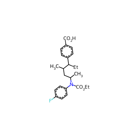 CCOC(=O)N(c1ccc(F)cc1)C(C)CC(C)C(CC)c1ccc(C(=O)O)cc1